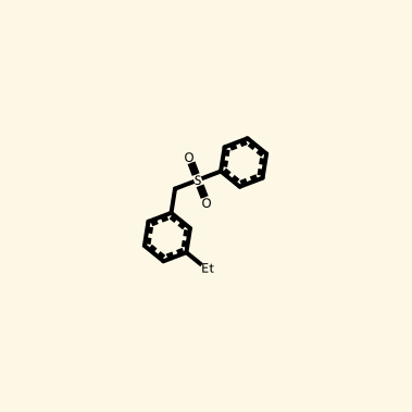 CCc1cccc(CS(=O)(=O)c2ccccc2)c1